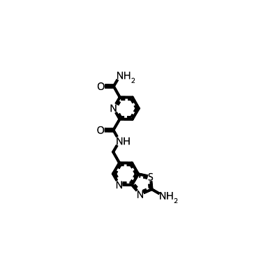 NC(=O)c1cccc(C(=O)NCc2cnc3nc(N)sc3c2)n1